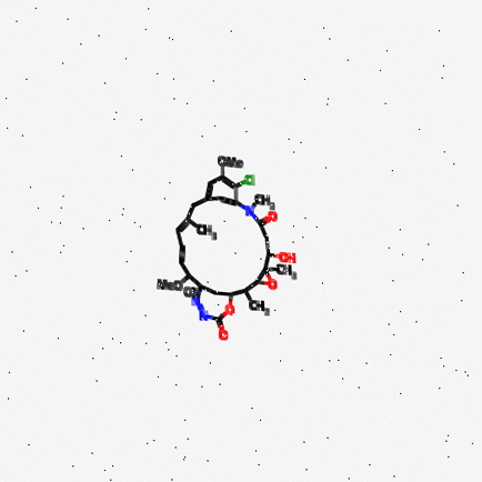 COc1cc2cc(c1Cl)N(C)C(=O)CC(O)C1(C)OC1C(C)C1CC(N=O)(N=NC(=O)O1)C(OC)/C=C/C=C(\C)C2